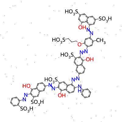 Cc1cc(N=Nc2c(S(=O)(=O)O)cc3cc(N=Nc4c(Nc5ccccc5)ccc5c(O)c(N=Nc6ccc7c(O)c(N=Nc8ccccc8S(=O)(=O)O)c(S(=O)(=O)O)cc7c6)c(S(=O)(=O)O)cc45)ccc3c2O)c(OCCCS(=O)(=O)O)cc1N=Nc1cc(S(=O)(=O)O)cc2cc(S(=O)(=O)O)cc(O)c12